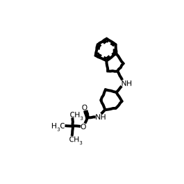 CC(C)(C)OC(=O)NC1CCC(NC2Cc3ccccc3C2)CC1